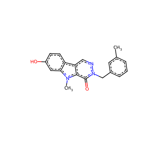 Cc1cccc(Cn2ncc3c4ccc(O)cc4n(C)c3c2=O)c1